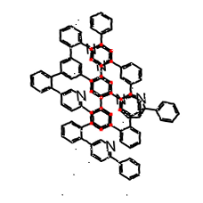 C1=NC(c2ccccc2)=CCC=C1c1ccccc1-c1cc(-c2ccccc2-c2ccc(-c3ccccc3)nc2)cc(-c2ccccc2-c2ccc(-c3cccc(-c4ccc(-c5ccccc5-c5cc(-c6ccccc6-c6ccc(-c7ccccc7)nc6)cc(-c6ccccc6-c6ccc(-c7ccccc7)nc6)c5)cn4)c3)nc2)c1